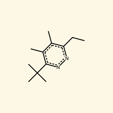 CCc1nnc(C(C)(C)C)c(C)c1C